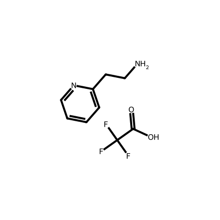 NCCc1ccccn1.O=C(O)C(F)(F)F